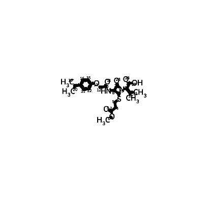 COC(=O)CCSC1C(NC(=O)COc2ccc(C(C)C)cc2)C(=O)N1C(C(=O)O)=C(C)C